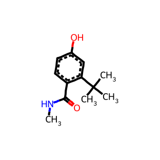 CNC(=O)c1ccc(O)cc1C(C)(C)C